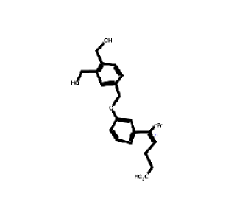 CCC/C(=C/CCC(=O)O)c1cccc(OCc2ccc(CO)c(CO)c2)c1